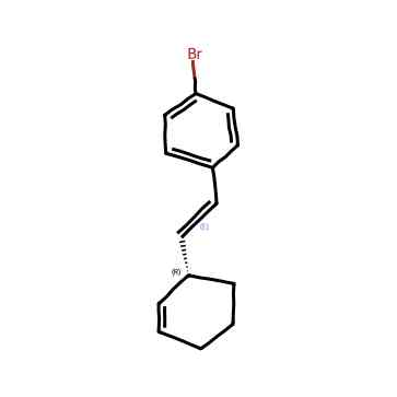 Brc1ccc(/C=C/[C@H]2C=CCCC2)cc1